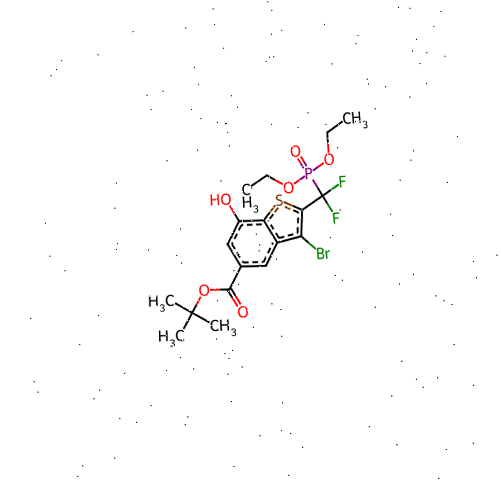 CCOP(=O)(OCC)C(F)(F)c1sc2c(O)cc(C(=O)OC(C)(C)C)cc2c1Br